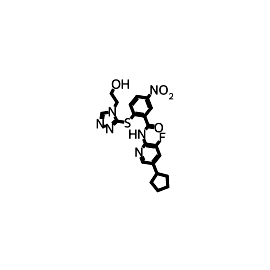 O=C(Nc1ncc(C2CCCC2)cc1F)c1cc([N+](=O)[O-])ccc1Sc1nncn1CCO